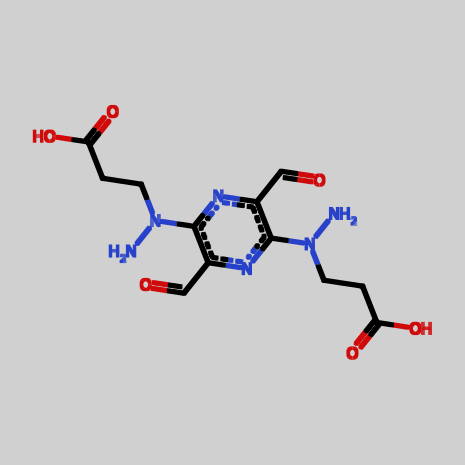 NN(CCC(=O)O)c1nc(C=O)c(N(N)CCC(=O)O)nc1C=O